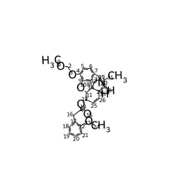 COCOc1ccc2c3c1OC1[C@@H](OC(=O)Cc4ccccc4OC)C=C[C@H]4[C@@H](C2)N(C)CC[C@]314